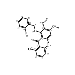 COc1cc(C)c(C(=O)c2c(Cl)cccc2Cl)c(OCc2ccccc2F)c1OC